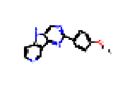 COc1ccc(-c2ncc3[nH]c4ccncc4c3n2)cc1